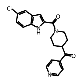 O=C(c1ccncc1)C1CCN(C(=O)c2cc3cc(Cl)ccc3[nH]2)CC1